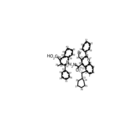 C[C@H](c1cccc2nc(-c3ccccc3)c(CBr)c(C(N)=O)c12)C1CCCCC1.Cc1c(-c2ccccc2)nc2ccccc2c1C(=O)O